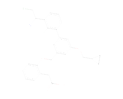 NC(CF)c1cccc(-c2cc(COc3ccccc3CC(=O)O)cc(OCC3CC3)c2)c1F